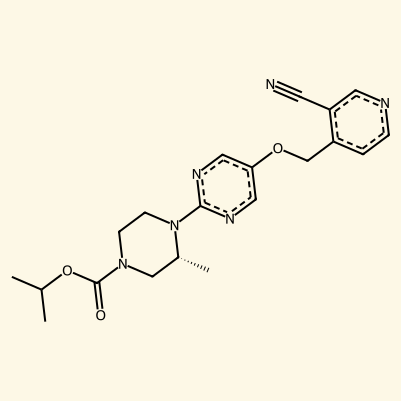 CC(C)OC(=O)N1CCN(c2ncc(OCc3ccncc3C#N)cn2)[C@H](C)C1